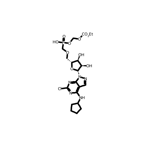 CCOC(=O)OCOP(=O)(O)COC[C@H]1O[C@@H](n2ncc3c(NC4CCCC4)nc(Cl)nc32)[C@H](O)[C@@H]1O